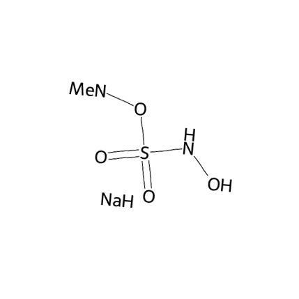 CNOS(=O)(=O)NO.[NaH]